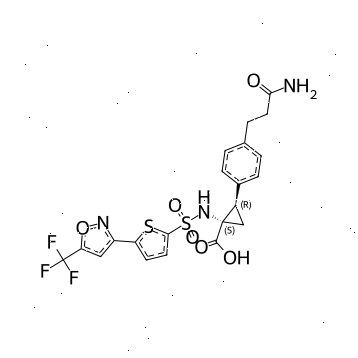 NC(=O)CCc1ccc([C@H]2C[C@@]2(NS(=O)(=O)c2ccc(-c3cc(C(F)(F)F)on3)s2)C(=O)O)cc1